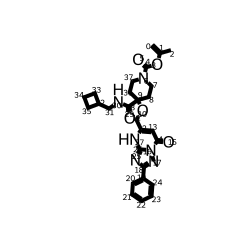 C=C(C)OC(=O)N1CCC(OCc2cc(=O)n3nc(-c4ccccc4)nc3[nH]2)(C(=O)NCC2CCC2)CC1